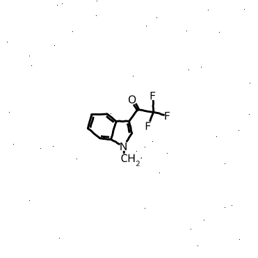 [CH2]n1cc(C(=O)C(F)(F)F)c2ccccc21